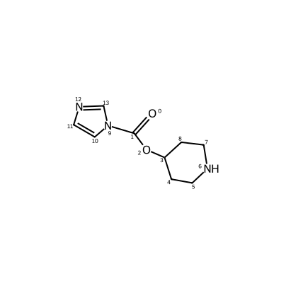 O=C(OC1CCNCC1)n1ccnc1